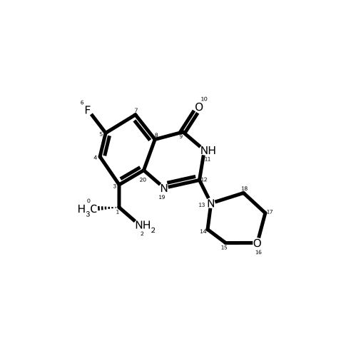 C[C@@H](N)c1cc(F)cc2c(=O)[nH]c(N3CCOCC3)nc12